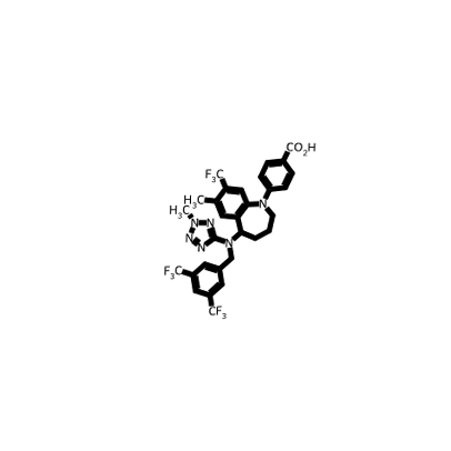 Cc1cc2c(cc1C(F)(F)F)N(c1ccc(C(=O)O)cc1)CCCC2N(Cc1cc(C(F)(F)F)cc(C(F)(F)F)c1)c1nnn(C)n1